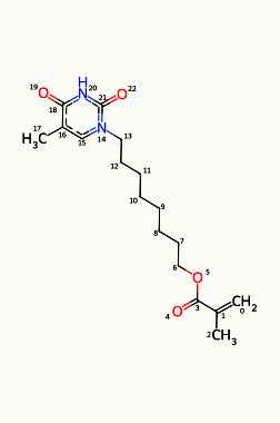 C=C(C)C(=O)OCCCCCCCCn1cc(C)c(=O)[nH]c1=O